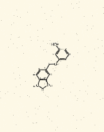 Oc1cccc(OCc2ccc3c(c2)OCO3)c1